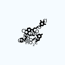 COCCn1c(C(=O)O)cc2cc(C)cc(N3C[C@@H](C)n4c(c(CCCOc5cc(C)c(Cl)c(C)c5)c5ccc(Cl)c(-c6c(C)nc(CN7CCOCC7)nc6C)c54)C3=O)c21